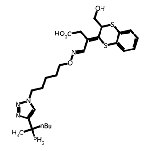 CCCCC(C)(P)c1cn(CCCCCO/N=C/C(CC(=O)O)=C2\Sc3ccccc3SC2CO)nn1